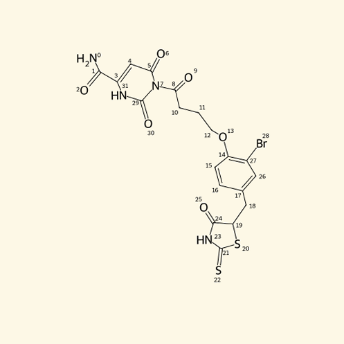 NC(=O)c1cc(=O)n(C(=O)CCCOc2ccc(CC3SC(=S)NC3=O)cc2Br)c(=O)[nH]1